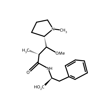 COC([C@@H](C)C(=O)N[C@@H](Cc1ccccc1)C(=O)O)[C@@H]1CCCN1C